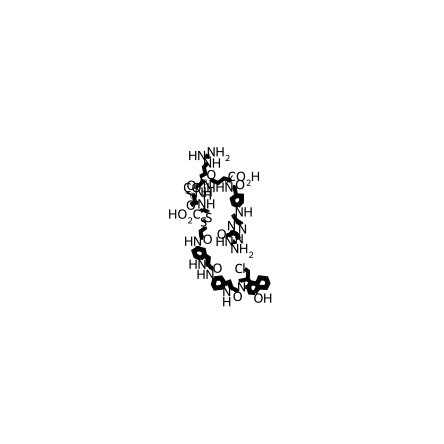 N=C(N)NCCC[C@@H](NC(=O)CC[C@@H](NC(=O)c1ccc(NCc2cnc3nc(N)[nH]c(=O)c3n2)cc1)C(=O)O)C(=O)N[C@H](CC(=O)O)C(=O)NC(CSSCCC(=O)Nc1ccc2[nH]c(C(=O)Nc3ccc4[nH]c(C(=O)N5CC(CCl)c6c5cc(O)c5ccccc65)cc4c3)cc2c1)C(=O)O